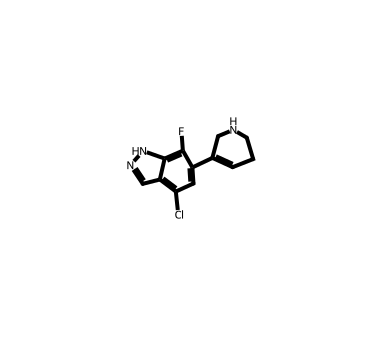 Fc1c(C2=CCCNC2)cc(Cl)c2cn[nH]c12